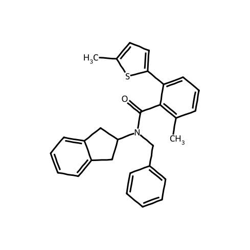 Cc1ccc(-c2cccc(C)c2C(=O)N(Cc2ccccc2)C2Cc3ccccc3C2)s1